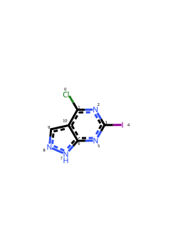 Clc1nc(I)nc2[nH]ncc12